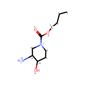 CCCCOC(=O)N1CCC(O)C(N)C1